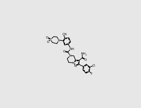 N#Cc1ccc(NC(=O)N2CCn3nc(-c4ccc(F)c(Cl)c4)c(C(N)=O)c3C2)cc1N1CCS(=O)(=O)CC1